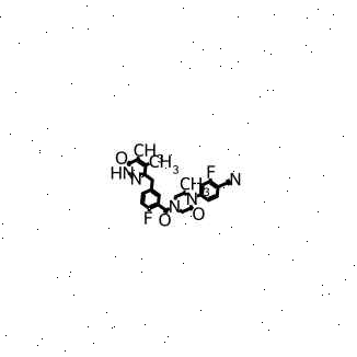 Cc1c(Cc2ccc(F)c(C(=O)N3CC(=O)N(c4ccc(C#N)c(F)c4)[C@H](C)C3)c2)n[nH]c(=O)c1C